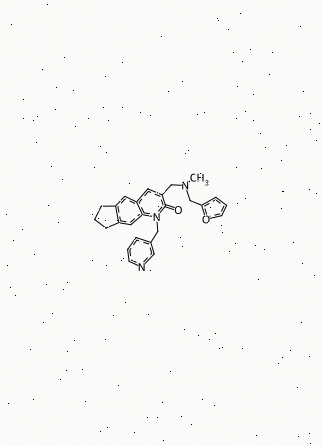 CN(Cc1ccco1)Cc1cc2cc3c(cc2n(Cc2cccnc2)c1=O)CCC3